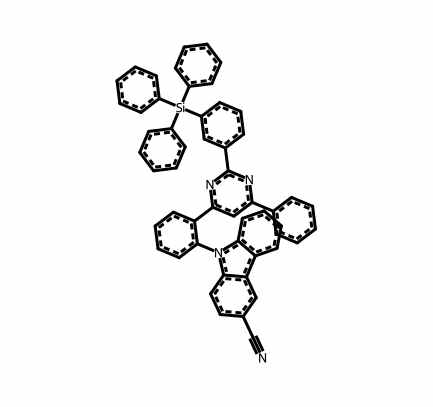 N#Cc1ccc2c(c1)c1ccccc1n2-c1ccccc1-c1cc(-c2ccccc2)nc(-c2cccc([Si](c3ccccc3)(c3ccccc3)c3ccccc3)c2)n1